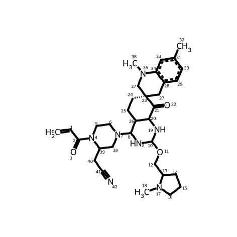 C=CC(=O)N1CCN(C2NC(OCC3CCCN3C)NC3C(=O)[C@]4(CCC32)Cc2ccc(C)cc2N(C)C4)CC1CC#N